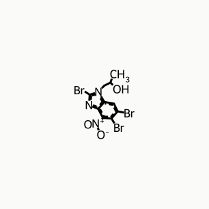 CC(O)Cn1c(Br)nc2c([N+](=O)[O-])c(Br)c(Br)cc21